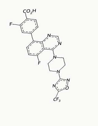 O=C(O)c1ccc(-c2ccc(F)c3c(N4CCN(c5noc(C(F)(F)F)n5)CC4)ncnc23)cc1F